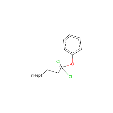 CCCCCCCC[CH2][W]([Cl])([Cl])[O]c1ccccc1